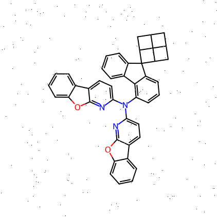 c1ccc2c(c1)-c1c(N(c3ccc4c(n3)oc3ccccc34)c3ccc4c(n3)oc3ccccc34)cccc1C21C2CC3CC4CC1C342